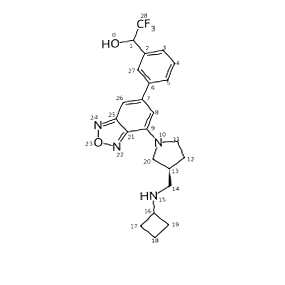 OC(c1cccc(-c2cc(N3CC[C@@H](CNC4CCC4)C3)c3nonc3c2)c1)C(F)(F)F